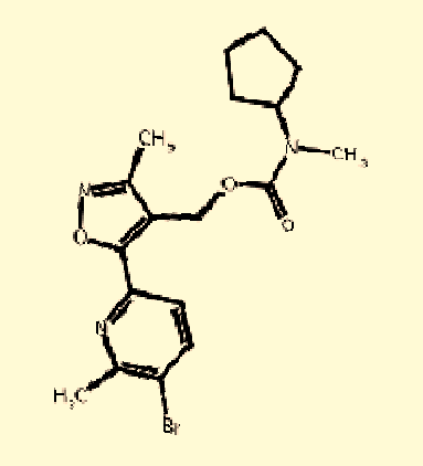 Cc1nc(-c2onc(C)c2COC(=O)N(C)C2CCCC2)ccc1Br